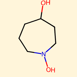 OC1CCCN(O)CC1